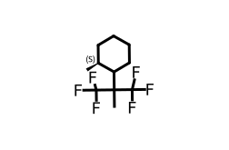 C[C@H]1CCCCC1C(C)(C(F)(F)F)C(F)(F)F